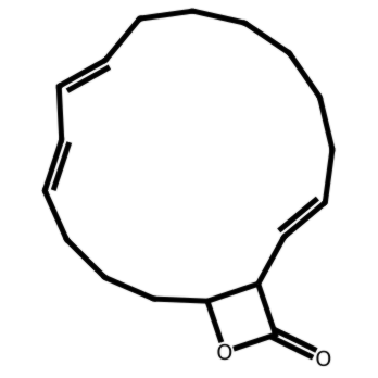 O=C1OC2CCC/C=C/C=C/CCCCCC/C=C/C12